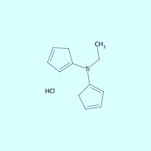 C[CH2][Ti]([C]1=CC=CC1)[C]1=CC=CC1.Cl